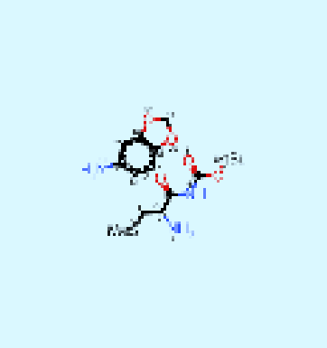 CSC[C@H](N)C(=O)NC(=O)OC(C)(C)C.Nc1ccc2c(c1)OCO2